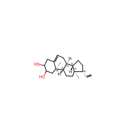 C=C[C@H]1CC[C@H]2[C@@H]3CC=C4CC(O)C(O)C[C@]4(C)[C@H]3CC[C@]12C